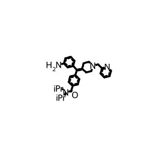 CC(C)N(C(=O)c1ccc(C(=C2CCN(Cc3ccccn3)CC2)c2cccc(N)c2)cc1)C(C)C